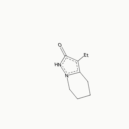 CCc1c2n([nH]c1=O)CCCC2